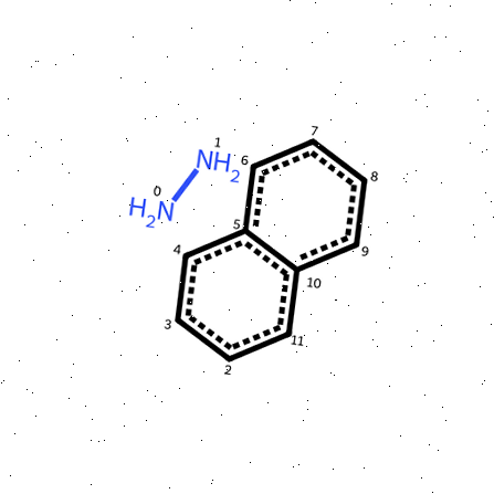 NN.c1ccc2ccccc2c1